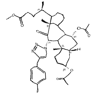 COC(=O)CC[C@@H](C)C1CCC2C3C([C@H](n4cc(-c5ccc(F)cc5)nn4)C(=O)[C@@]21C)[C@@]1(C)CC[C@@H](OC(C)=O)C[C@H]1C[C@H]3OC(C)=O